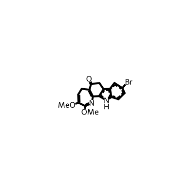 COC1=CCC2=C(N=C1OC)c1[nH]c3ccc(Br)cc3c1CC2=O